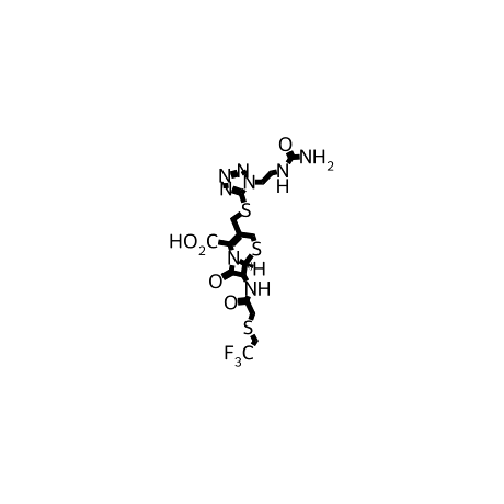 NC(=O)NCCn1nnnc1SCC1=C(C(=O)O)N2C(=O)C(NC(=O)CSCC(F)(F)F)[C@H]2SC1